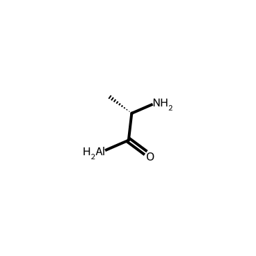 C[C@H](N)[C](=O)[AlH2]